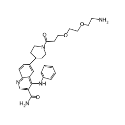 NCCOCCOCCC(=O)N1CCC(c2ccc3ncc(C(N)=O)c(Nc4ccccc4)c3c2)CC1